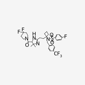 CC1(C)N=C(CCC2(N(Cc3ccc(C(F)(F)F)cc3)S(=O)(=O)c3ccc(F)cc3)CCC2)NC1C(=O)N1CCC(F)(F)CC1